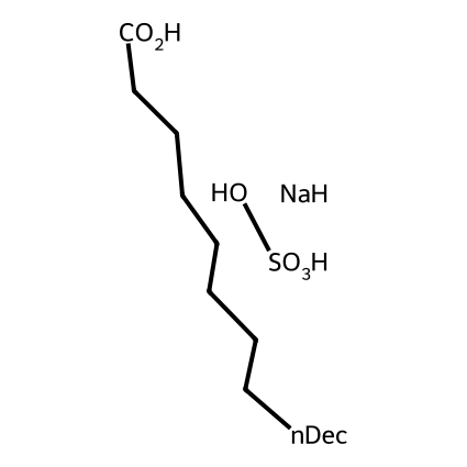 CCCCCCCCCCCCCCCCCC(=O)O.O=S(=O)(O)O.[NaH]